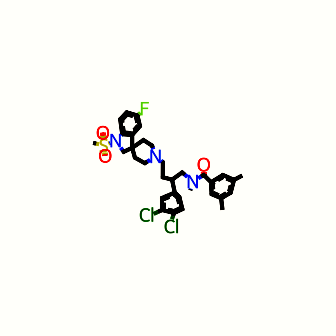 Cc1cc(C)cc(C(=O)N(C)CC(CCN2CCC3(CC2)CN(S(C)(=O)=O)c2ccc(F)cc23)c2ccc(Cl)c(Cl)c2)c1